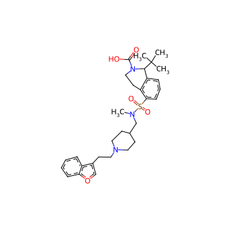 CN(CC1CCN(CCc2coc3ccccc23)CC1)S(=O)(=O)c1cccc2c1CCN(C(=O)O)C2C(C)(C)C